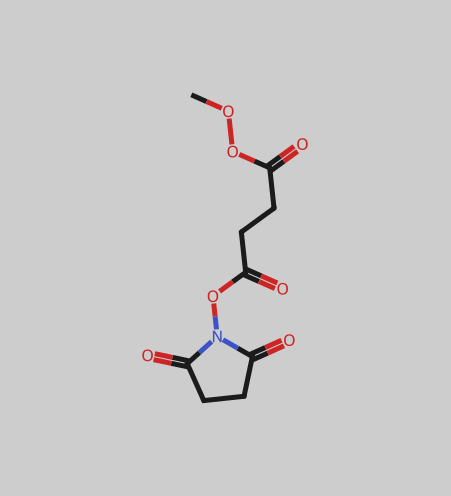 COOC(=O)CCC(=O)ON1C(=O)CCC1=O